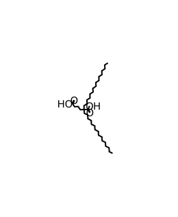 CCCCCCCCCCCCCCCCC(CCCCCCCCCCCCCCCC)(CCCC(=O)O)C(=O)O